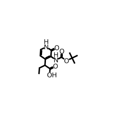 CCC(C(=O)O)c1cc[nH]c(=O)c1NC(=O)OC(C)(C)C